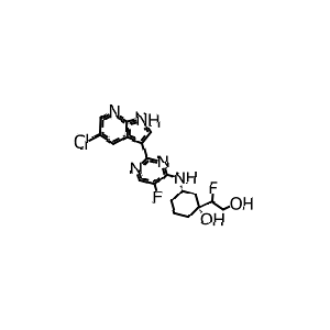 OCC(F)[C@@]1(O)CCC[C@H](Nc2nc(-c3c[nH]c4ncc(Cl)cc34)ncc2F)C1